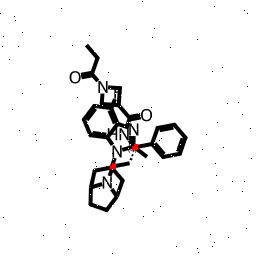 CCC(=O)N1CC(C(=O)N[C@@H](CCN2C3CCC2CC(n2c(C)nc4c(F)cccc42)C3)c2ccccc2)C1